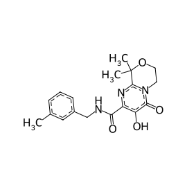 Cc1cccc(CNC(=O)c2nc3n(c(=O)c2O)CCOC3(C)C)c1